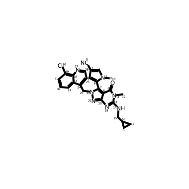 Cn1cc(C#N)cc1-c1c2c(=O)n(C)c(NCC3CC3)nc2nn1Cc1ccnc2c(Cl)cccc12